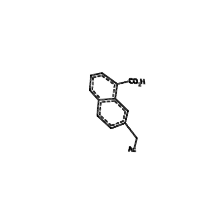 CC(=O)Cc1ccc2cccc(C(=O)O)c2c1